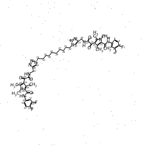 C=C(Nc1ccc(F)c(F)c1)c1c(C)c(C(=O)C(=O)NCc2cn(CCCCCCCCCCn3cc(CNC(=O)C(=O)c4c(C)c(C(=O)Nc5ccc(F)c(F)c5)n(C)c4C)nn3)nn2)c(C)n1C